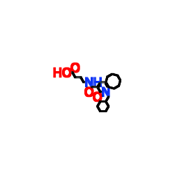 O=C(O)CCCNC(=O)c1cc2c(n(CC3CCCCC3)c1=O)CCCCCC2